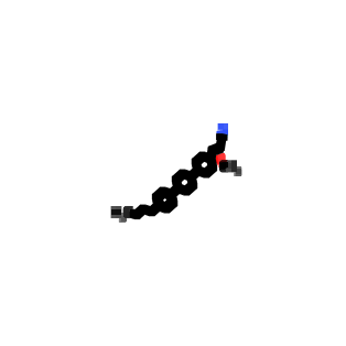 CCCCc1ccc(C2CCC(C3CCC(C=CC#N)(OC)CC3)CC2)cc1